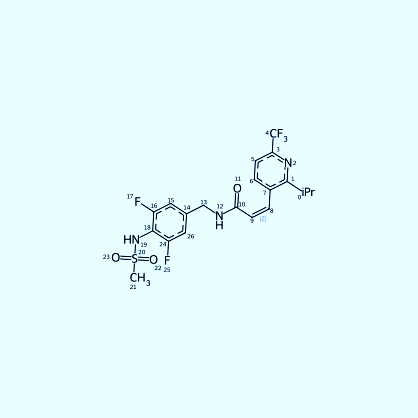 CC(C)c1nc(C(F)(F)F)ccc1/C=C\C(=O)NCc1cc(F)c(NS(C)(=O)=O)c(F)c1